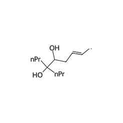 [CH2]/C=C/CC(O)C(O)(CCC)CCC